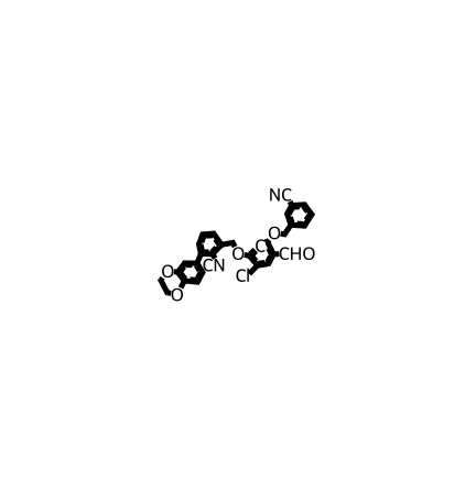 N#Cc1cccc(COc2cc(OCc3cccc(-c4ccc5c(c4)OCCO5)c3C#N)c(Cl)cc2C=O)c1